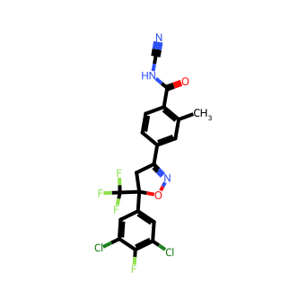 Cc1cc(C2=NOC(c3cc(Cl)c(F)c(Cl)c3)(C(F)(F)F)C2)ccc1C(=O)NC#N